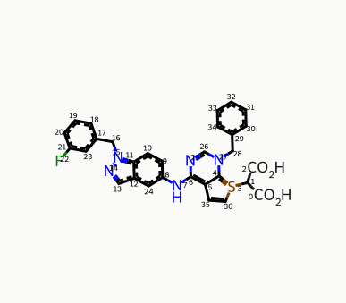 O=C(O)C(C(=O)O)S1=C2C(=C(Nc3ccc4c(cnn4Cc4cccc(F)c4)c3)N=CN2Cc2ccccc2)C=C1